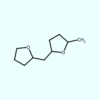 CC1CCC(CC2CCCO2)O1